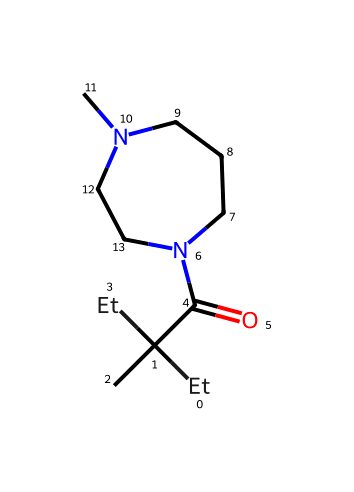 CCC(C)(CC)C(=O)N1CCCN(C)CC1